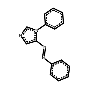 c1ccc(N=Nc2cncn2-c2ccccc2)cc1